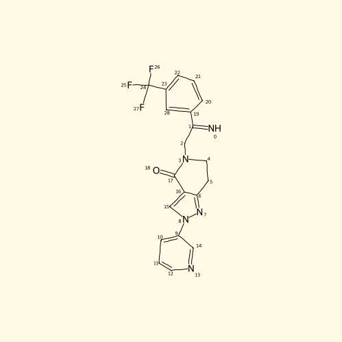 N=C(CN1CCc2nn(-c3cccnc3)cc2C1=O)c1cccc(C(F)(F)F)c1